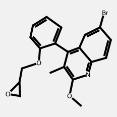 COc1nc2ccc(Br)cc2c(-c2ccccc2OCC2CO2)c1C